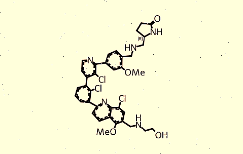 COc1cc(-c2nccc(-c3cccc(-c4ccc5c(OC)c(CNCCO)cc(Cl)c5n4)c3Cl)c2Cl)ccc1CNC[C@H]1CCC(=O)N1